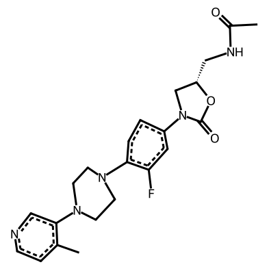 CC(=O)NC[C@H]1CN(c2ccc(N3CCN(c4cnccc4C)CC3)c(F)c2)C(=O)O1